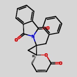 O=C1C=CC[C@@]2(CC2(Cc2ccccc2)N2C(=O)c3ccccc3C2=O)O1